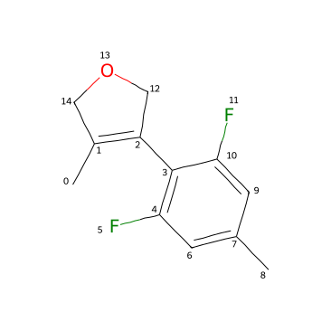 CC1=C(c2c(F)cc(C)cc2F)COC1